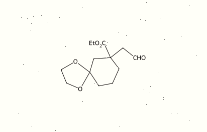 CCOC(=O)C1(CC=O)CCCC2(C1)OCCO2